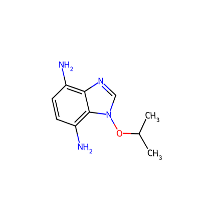 CC(C)On1cnc2c(N)ccc(N)c21